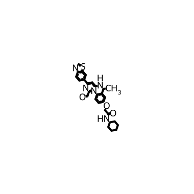 CC(Nc1cc(-c2ccc3ncsc3c2)nc(C=O)n1)c1cccc(OCC(=O)NC2CCCCC2)c1